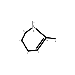 CC1=CC[CH]CN1